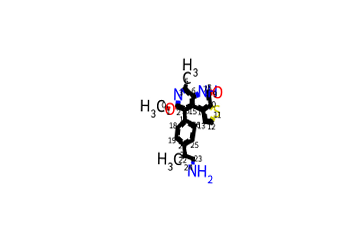 COc1nc(C)c2[nH]c(=O)c3sccc3c2c1-c1ccc(C(C)CN)cc1